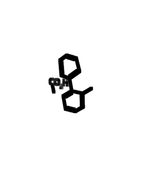 CC(=O)O.Cc1ccccc1-c1ccccc1